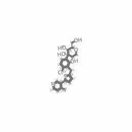 OC[C@H]1OC[C@H](O)[C@@](O)(c2ccc(Cl)c(Cc3ccc(-c4cnccc4F)s3)c2)[C@@H]1O